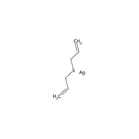 C=CCSCC=C.[Ag]